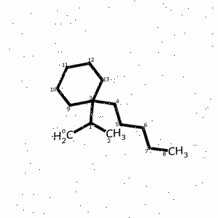 [CH2]C(C)C1(CCCCC)CCCCC1